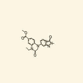 CCN1C(=O)CN(c2ccn3c(=O)n(C)nc3c2)c2ccc(C(=O)OC)cc21